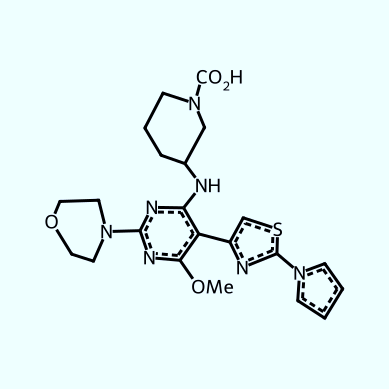 COc1nc(N2CCOCC2)nc(NC2CCCN(C(=O)O)C2)c1-c1csc(-n2cccc2)n1